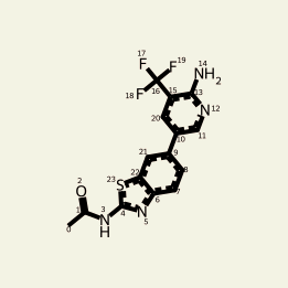 CC(=O)Nc1nc2ccc(-c3cnc(N)c(C(F)(F)F)c3)cc2s1